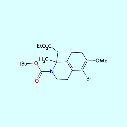 CCOC(=O)CC1(C)c2ccc(OC)c(Br)c2CCN1C(=O)OC(C)(C)C